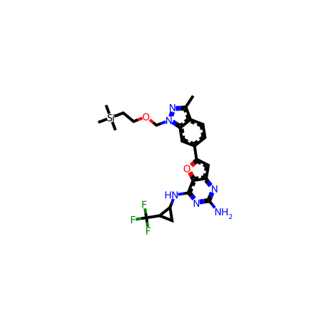 Cc1nn(COCC[Si](C)(C)C)c2cc(-c3cc4nc(N)nc(NC5CC5C(F)(F)F)c4o3)ccc12